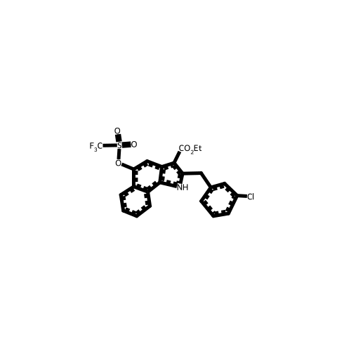 CCOC(=O)c1c(Cc2cccc(Cl)c2)[nH]c2c1cc(OS(=O)(=O)C(F)(F)F)c1ccccc12